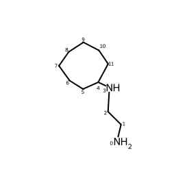 NCCNC1CCCCCCC1